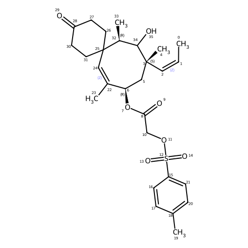 C/C=C\[C@]1(C)C[C@@H](OC(=O)COS(=O)(=O)c2ccc(C)cc2)/C(C)=C\C2(CCC(=O)CC2)[C@@H](C)C1O